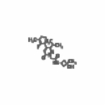 Cc1cccc(-c2cc(=O)n(CC(=O)N[C@H]3C[C@@](C)(O)C3)nc2C(C)C)c1F